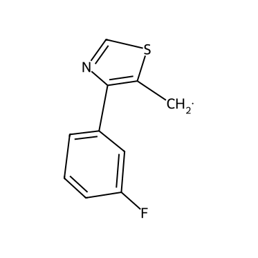 [CH2]c1scnc1-c1cccc(F)c1